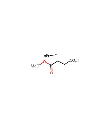 CCCC.COOC(=O)CCC(=O)O